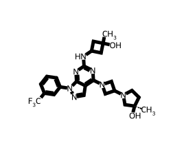 CC1(O)CC(Nc2nc(N3CC(N4CC[C@@](C)(O)C4)C3)c3cnn(-c4cccc(C(F)(F)F)c4)c3n2)C1